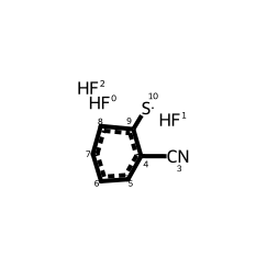 F.F.F.N#Cc1ccccc1[S]